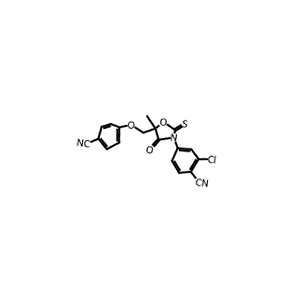 CC1(COc2ccc(C#N)cc2)OC(=S)N(c2ccc(C#N)c(Cl)c2)C1=O